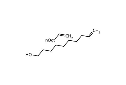 C=CCCCCCCCC.C=CCCCCCCCCO